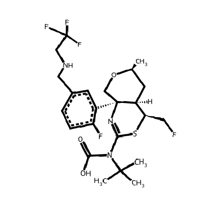 C[C@H]1C[C@H]2[C@@H](CF)SC(N(C(=O)O)C(C)(C)C)=N[C@@]2(c2cc(CNCC(F)(F)F)ccc2F)CO1